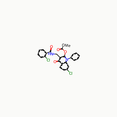 COC(=O)Oc1c(CNC(=O)c2ccccc2Cl)c(=O)c2ccc(Cl)cc2n1-c1ccccc1